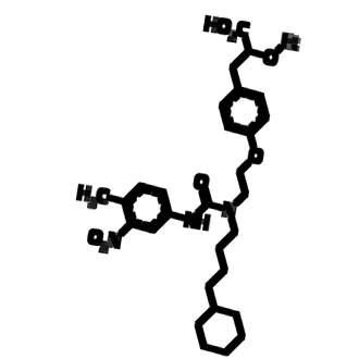 CCOC(Cc1ccc(OCCN(CCCCC2CCCCC2)C(=O)Nc2ccc(C)c([N+](=O)[O-])c2)cc1)C(=O)O